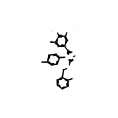 COc1cc(-c2nnc(SCc3ccccc3F)n2-c2ccc(C)cc2)cc(OC)c1OC